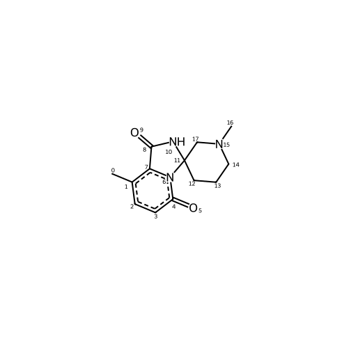 Cc1ccc(=O)n2c1C(=O)NC21CCCN(C)C1